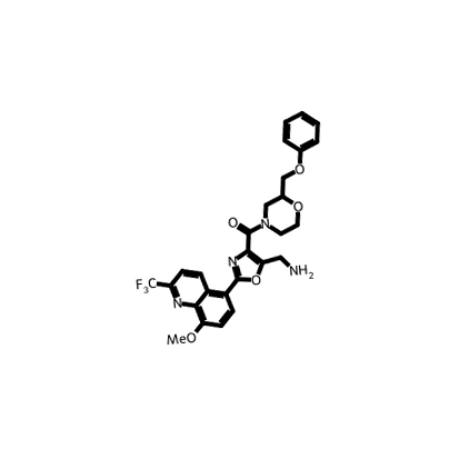 COc1ccc(-c2nc(C(=O)N3CCOC(COc4ccccc4)C3)c(CN)o2)c2ccc(C(F)(F)F)nc12